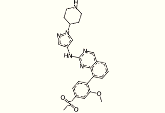 COc1cc(S(C)(=O)=O)ccc1-c1cccc2cnc(Nc3cnn(C4CCNCC4)c3)nc12